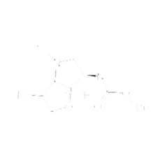 CC(=O)N1C[C@@H](NC(=O)OC(C)(C)C)[C@H]2OCC(O)C21